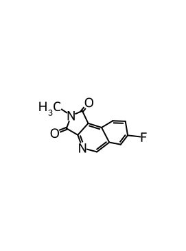 CN1C(=O)c2ncc3cc(F)ccc3c2C1=O